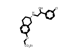 CCOC(=O)COc1ccc2c(c1)C[C@@H](NCC(O)c1cccc(Cl)c1)CC2